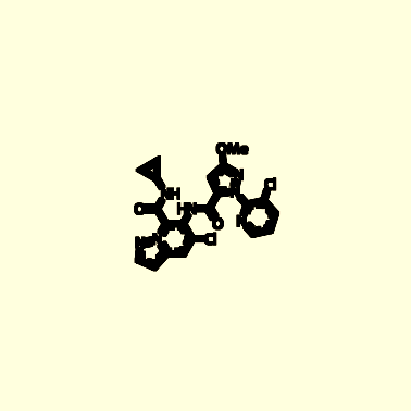 COc1cc(C(=O)Nc2c(Cl)cc3ccnn3c2C(=O)NC2CC2)n(-c2ncccc2Cl)n1